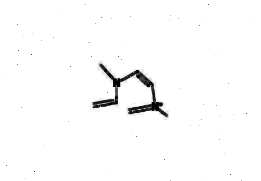 C=CN(C)/C=C\[N+](=C)C